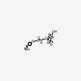 CCC(C)(CC(C)(C(=O)OCCNC(=O)OCCOc1ccc(C(C)(C)OO)cc1)S(=O)(=O)CCO)C(=O)OC